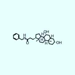 C[C@]12CC[C@@H](O)C[C@H]1C[C@@H](O)[C@@H]1[C@@H]2CC[C@]2(C)[C@@H](CCC(=O)NCc3ccccc3)CC[C@@H]12